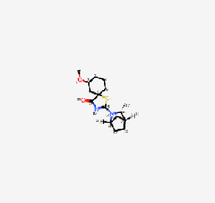 COC1CCCC2(C1)SC(N1[C@H]3CC[C@H](C3)[C@H]1C)=NC2=O